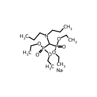 CCCN(CCC)C(P(=O)(OCC)OCC)P(=O)(OCC)OCC.[Na]